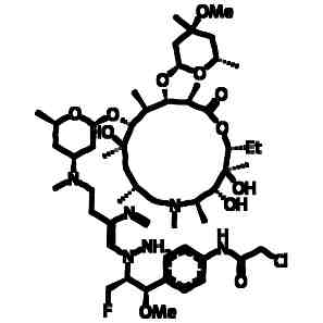 C=N/C(=C\N(N)[C@H](CF)[C@H](OC)c1ccc(NC(=O)CCl)cc1)CCN(C)[C@@H]1C[C@H](O[C@@H]2[C@@H](C)[C@H](O[C@H]3C[C@@](C)(OC)C[C@H](C)O3)[C@@H](C)C(=O)O[C@H](CC)[C@@](C)(O)[C@H](O)[C@@H](C)N(C)C[C@H](C)C[C@@]2(C)O)O[C@H](C)C1